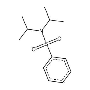 CC(C)N(C(C)C)S(=O)(=O)c1cc[c]cc1